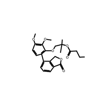 CCCC(=O)OC(C)(C)COc1c(-c2cccc3c2COC3=O)ccc(OC)c1OC